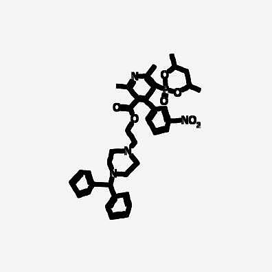 Cc1nc(C)c(P2(=O)OC(C)CC(C)O2)c(-c2cccc([N+](=O)[O-])c2)c1C(=O)OCCN1CCN(C(c2ccccc2)c2ccccc2)CC1